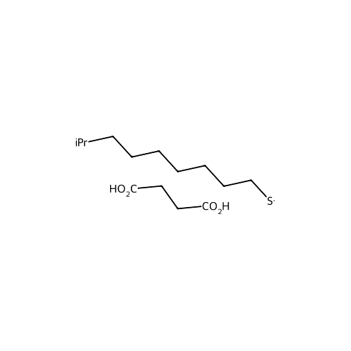 CC(C)CCCCCCC[S].O=C(O)CCC(=O)O